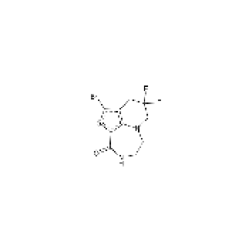 O=C1NCCN2CC(F)(F)Cc3c(Br)sc1c32